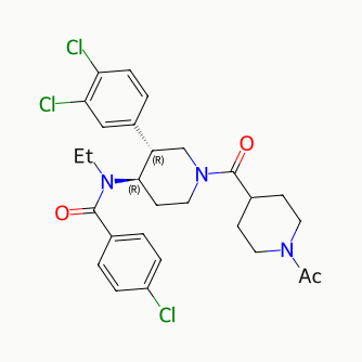 CCN(C(=O)c1ccc(Cl)cc1)[C@@H]1CCN(C(=O)C2CCN(C(C)=O)CC2)C[C@H]1c1ccc(Cl)c(Cl)c1